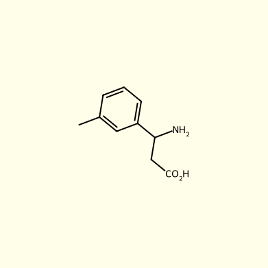 Cc1cccc(C(N)CC(=O)O)c1